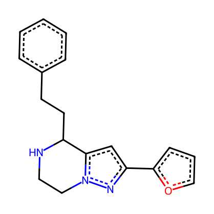 c1ccc(CCC2NCCn3nc(-c4ccco4)cc32)cc1